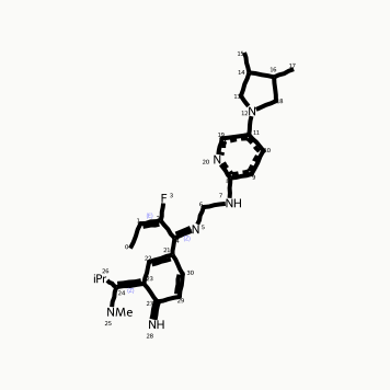 C/C=C(F)\C(=N/CNc1ccc(N2CC(C)C(C)C2)cn1)C1=C/C(=C(/NC)C(C)C)C(=N)C=C1